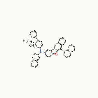 CC1(C)c2ccccc2-c2ccc(N(c3ccc4ccccc4c3)c3ccc4oc5c(-c6cccc7ccccc67)c6ccccc6cc5c4c3)cc21